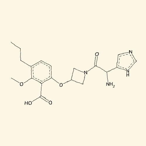 CCCc1ccc(OC2CN(C(=O)C(N)c3cnc[nH]3)C2)c(C(=O)O)c1OC